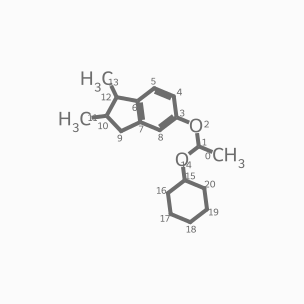 CC(Oc1ccc2c(c1)CC(C)C2C)OC1CCCCC1